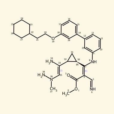 COC(=O)/C(C=N)=C(/Nc1cccc(-c2cccc(OCCC3CCCCC3)c2)c1)[C@@H]1CC1/C(N)=C/N(C)N